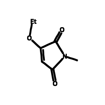 CCOC1=CC(=O)N(C)C1=O